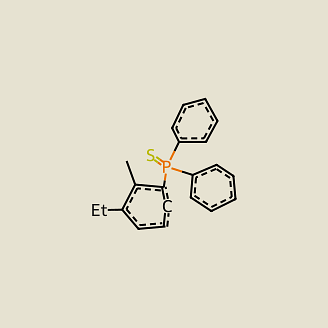 [CH2]Cc1cccc(P(=S)(c2ccccc2)c2ccccc2)c1C